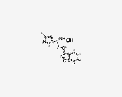 Cc1ncc(C(N)COc2noc3ccccc23)s1.Cl